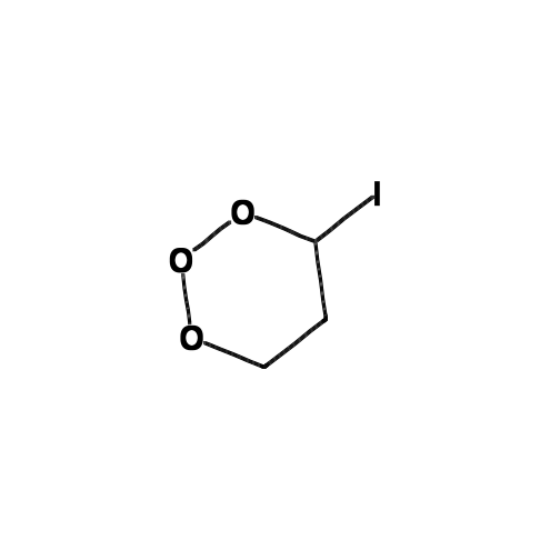 IC1CCOOO1